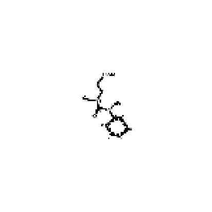 [CH2]CCN(C(=O)N(CCOC)C(C)C)c1cccnc1